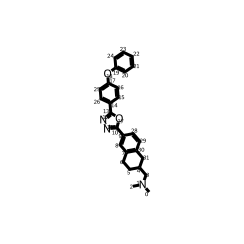 CN(C)CC1CCc2cc(-c3nnc(-c4ccc(Oc5ccccc5)cc4)o3)ccc2C1